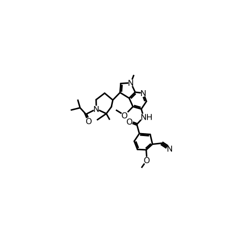 COc1ccc(C(=O)Nc2cnc3c(c(C4CCN(C(=O)C(C)C)C(C)(C)C4)cn3C)c2OC)cc1C#N